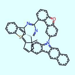 C=C/C=C1/C=CCC1(C)C[C@@H]1Sc2ccccc2C1/N=C(\N=C)c1cccc2oc3ccc(-n4c5ccccc5c5cc6ccccc6cc54)cc3c12